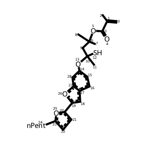 C=C(C)C(=O)OC(C)(C)CC(C)(S)Oc1ccc2cc(-c3ccc(CCCCC)o3)oc2c1